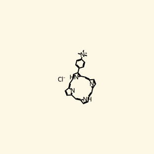 C[N+](C)(C)c1ccc(-c2cc3cc4nc(cc5ccc(cc6nc(cc2[nH]3)C=C6)[nH]5)C=C4)cc1.[Cl-]